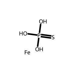 OP(O)(O)=S.[Fe]